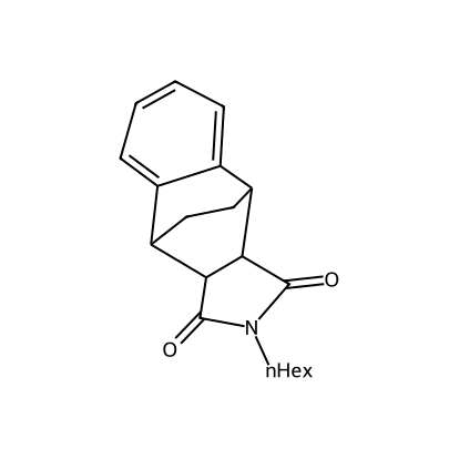 CCCCCCN1C(=O)C2C3CCC(c4ccccc43)C2C1=O